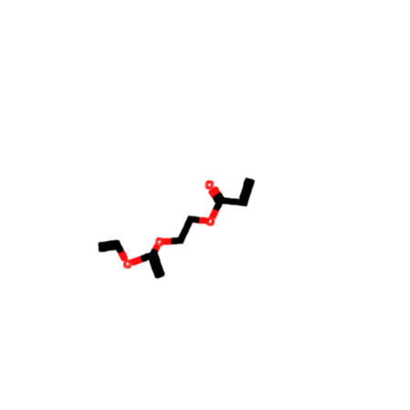 C=COC(=C)OCCOC(=O)C=C